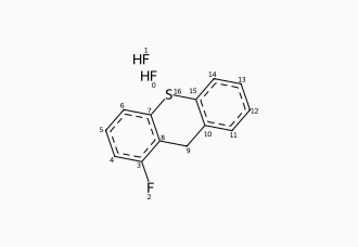 F.F.Fc1cccc2c1Cc1ccccc1S2